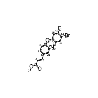 COC(=O)C=Cc1ccc(Oc2ccc(Br)c(F)c2)c(F)c1